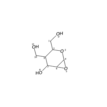 OCC1OC2OC2C(O)C1CO